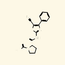 N#Cc1sc(NC(=O)[C@@H]2CCCN2C(=O)O)nc1-c1ccccc1